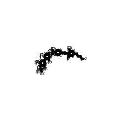 CCCCCc1cc(F)c(C#Cc2ccc(C(F)(F)Oc3cc(F)c(-c4cc(F)c(OC(F)(F)F)c(F)c4)c(F)c3)cc2)c(F)c1